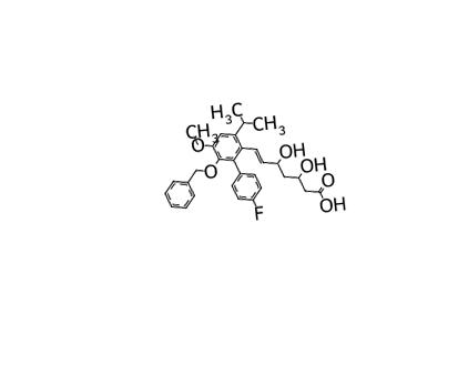 COc1cc(C(C)C)c(/C=C/C(O)CC(O)CC(=O)O)c(-c2ccc(F)cc2)c1OCc1ccccc1